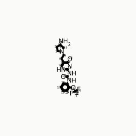 N[C@H]1CCN(CCc2c[nH]c(NC(=O)Nc3ccccc3OC(F)(F)F)nc2=O)C1